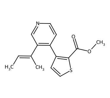 C/C=C(\C)c1cnccc1-c1ccsc1C(=O)OC